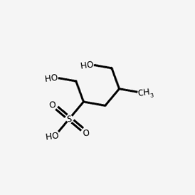 CC(CO)CC(CO)S(=O)(=O)O